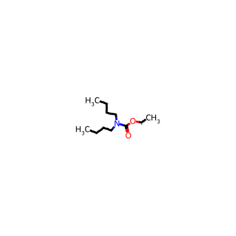 C[CH]OC(=O)N(CCCC)CCCC